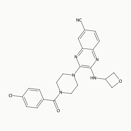 N#Cc1ccc2nc(NC3COC3)c(N3CCN(C(=O)c4ccc(Cl)cc4)CC3)nc2c1